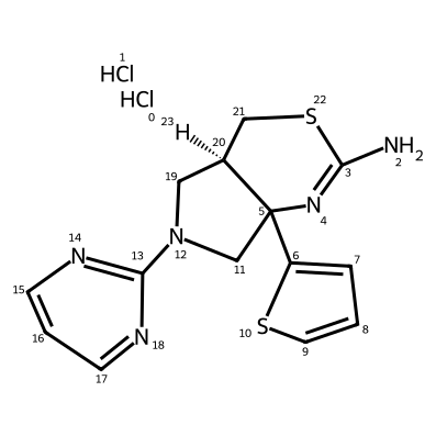 Cl.Cl.NC1=NC2(c3cccs3)CN(c3ncccn3)C[C@H]2CS1